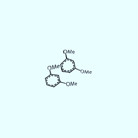 COc1cccc(OC)c1.COc1cccc(OC)c1